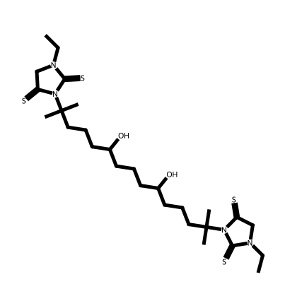 CCN1CC(=S)N(C(C)(C)CCCC(O)CCCC(O)CCCC(C)(C)N2C(=S)CN(CC)C2=S)C1=S